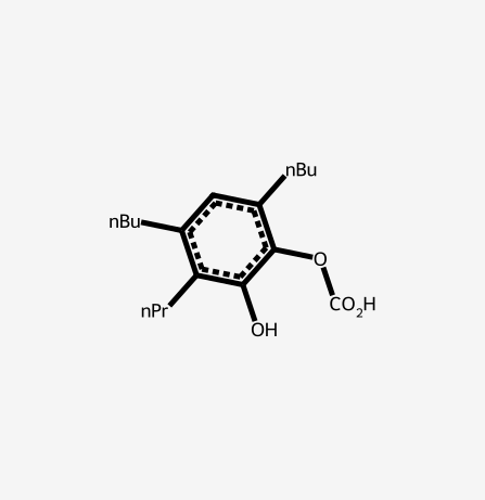 CCCCc1cc(CCCC)c(OC(=O)O)c(O)c1CCC